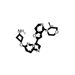 C[C@H]1COCCN1c1nccc2oc(-c3cnc4ccc(O[C@H]5C[C@H](N)C5)nn34)cc12